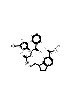 Cl.Cl.NCC1CCc2ccc(C(N)=O)cc21.Nc1nc(N(CC(=O)O)C(=O)c2ccccc2)cs1